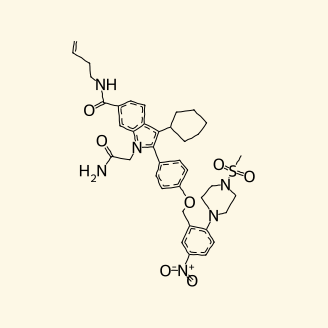 C=CCCNC(=O)c1ccc2c(C3CCCCC3)c(-c3ccc(OCc4cc([N+](=O)[O-])ccc4N4CCN(S(C)(=O)=O)CC4)cc3)n(CC(N)=O)c2c1